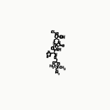 CC(C)(C)OC(=O)CON=C(C(=O)NC1C(=O)N2CC(C=CCl)(C(=O)O)CS[C@H]12)c1cscn1